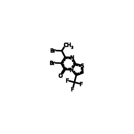 CC(Br)c1nc2scc(C(F)(F)F)n2c(=O)c1Br